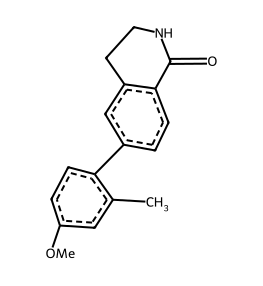 COc1ccc(-c2ccc3c(c2)CCNC3=O)c(C)c1